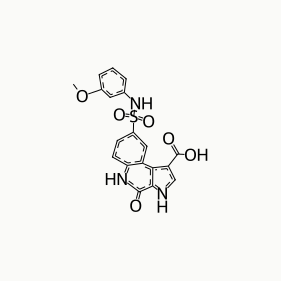 COc1cccc(NS(=O)(=O)c2ccc3[nH]c(=O)c4[nH]cc(C(=O)O)c4c3c2)c1